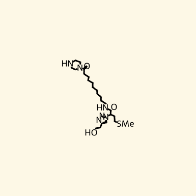 CSCCC(C(=O)NCCCCCCCCCCC(=O)N1CCNCC1)n1cc(CCO)nn1